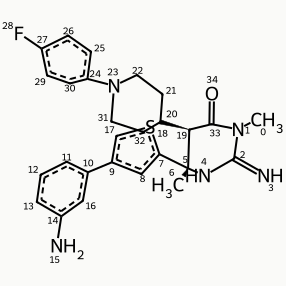 CN1C(=N)N[C@](C)(c2cc(-c3cccc(N)c3)cs2)[C@@H](C2CCN(c3ccc(F)cc3)CC2)C1=O